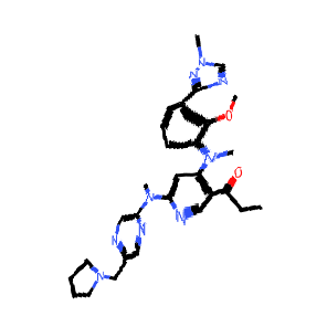 CCC(=O)c1cnc(N(C)c2cnc(CN3CCCC3)cn2)cc1N(C)c1cccc(-c2ncn(C)n2)c1OC